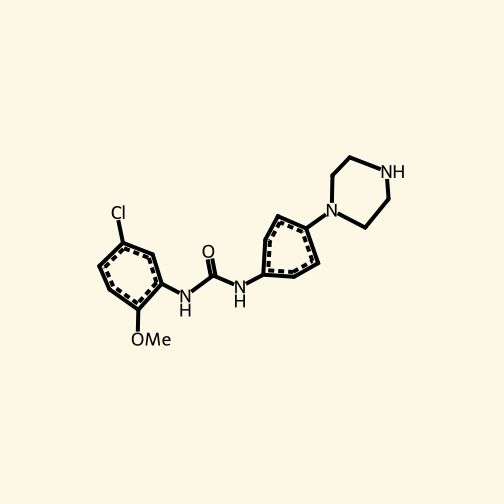 COc1ccc(Cl)cc1NC(=O)Nc1ccc(N2CCNCC2)cc1